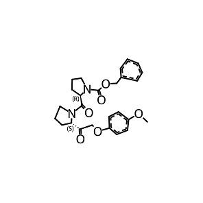 COc1ccc(OCC(=O)[C@@H]2CCCN2C(=O)[C@H]2CCCN2C(=O)OCc2ccccc2)cc1